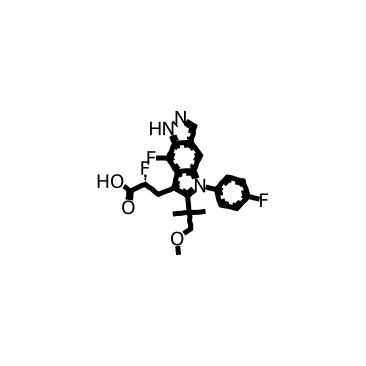 COCC(C)(C)c1c(C[C@@H](F)C(=O)O)c2c(F)c3[nH]ncc3cc2n1-c1ccc(F)cc1